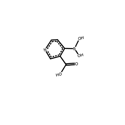 O=C(O)c1cnccc1B(O)O